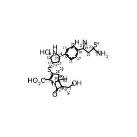 C[C@@H](O)[C@H]1C(=O)N2C(C(=O)O)=C(S[C@@H]3CN[C@@H](c4ccc(C(N)CC(N)=S)cc4)C3)[C@H](C)[C@H]12.Cl